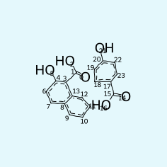 O=C(O)c1c(O)ccc2ccccc12.O=C(O)c1ccc(O)cc1